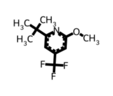 COc1cc(C(F)(F)F)cc(C(C)(C)C)n1